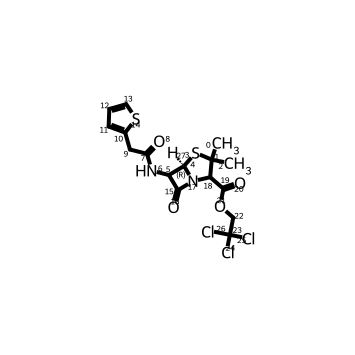 CC1(C)S[C@@H]2C(NC(=O)Cc3cccs3)C(=O)N2C1C(=O)OCC(Cl)(Cl)Cl